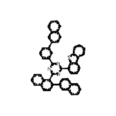 c1cc(-c2ccc3ccccc3c2)cc(-c2nc(-c3c(-c4ccc5ccccc5c4)ccc4ccccc34)nc(-c3cccc4c3sc3ccccc34)n2)c1